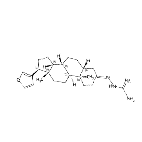 C[C@]12CCC(=NNC(=N)N)C[C@H]1CC[C@H]1[C@H]3CC[C@H](c4ccoc4)[C@@]3(C)CC[C@@H]12